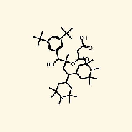 CN1C(C)(C)CC(C(CC(C)(OC(=O)CC(=O)O)C(O)c2cc(C(C)(C)C)cc(C(C)(C)C)c2)C2CC(C)(C)N(C)C(C)(C)C2)CC1(C)C